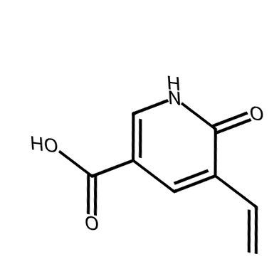 C=Cc1cc(C(=O)O)c[nH]c1=O